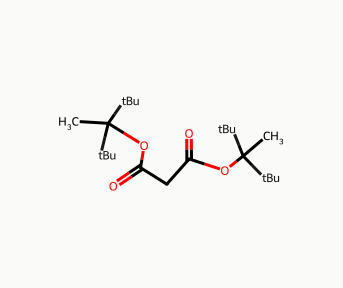 CC(C)(C)C(C)(OC(=O)CC(=O)OC(C)(C(C)(C)C)C(C)(C)C)C(C)(C)C